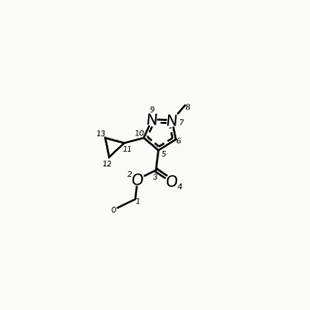 CCOC(=O)c1cn(C)nc1C1CC1